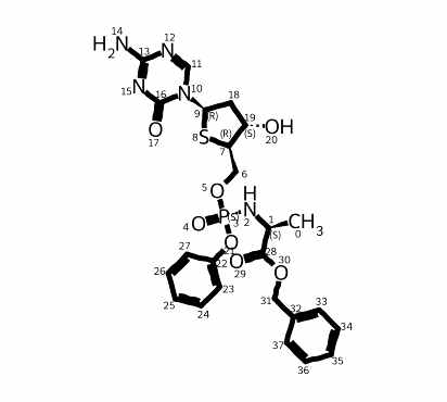 C[C@H](N[P@](=O)(OC[C@H]1S[C@@H](n2cnc(N)nc2=O)C[C@@H]1O)Oc1ccccc1)C(=O)OCc1ccccc1